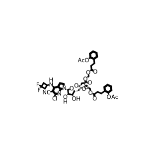 CC(=O)Oc1ccccc1CCC(=O)OCOP(=O)(CS(=O)(=O)C[C@H]1O[C@@H](n2ccc3c(NC4CC(F)(F)C4)c(C#N)c(Cl)nc32)[C@H](O)[C@@H]1O)OCOC(=O)CCc1ccccc1OC(C)=O